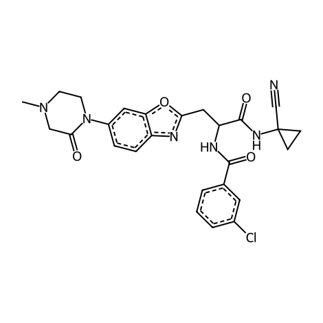 CN1CCN(c2ccc3nc(CC(NC(=O)c4cccc(Cl)c4)C(=O)NC4(C#N)CC4)oc3c2)C(=O)C1